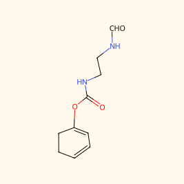 O=CNCCNC(=O)OC1=CC=CCC1